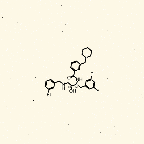 CCc1cccc(CNC[C@H](O)[C@H](Cc2cc(F)cc(F)c2)NC(=O)c2cccc(CC3CCCCC3)c2)c1